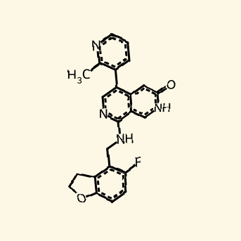 Cc1ncccc1-c1cnc(NCc2c(F)ccc3c2CCO3)c2c[nH]c(=O)cc12